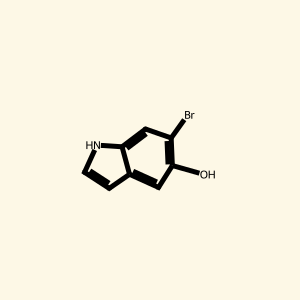 Oc1cc2cc[nH]c2cc1Br